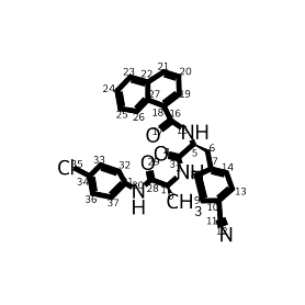 C[C@H](NC(=O)[C@H](Cc1ccc(C#N)cc1)NC(=O)c1cccc2ccccc12)C(=O)Nc1ccc(Cl)cc1